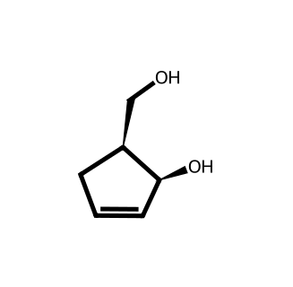 OC[C@@H]1CC=C[C@@H]1O